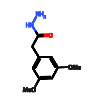 COc1cc(CC(=O)NN)cc(OC)c1